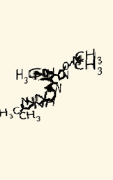 CC(C)c1cnnc(Nc2ccc3ncc(-c4cn(C)nc4-c4ccnc(OCCN(C)C)c4)cc3n2)c1